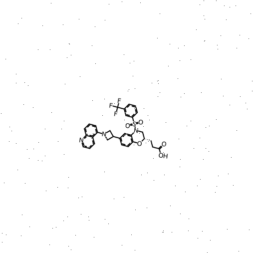 O=C(O)CC[C@H]1CN(S(=O)(=O)c2cccc(C(F)(F)F)c2)c2cc(C3CN(c4cccc5ncccc45)C3)ccc2O1